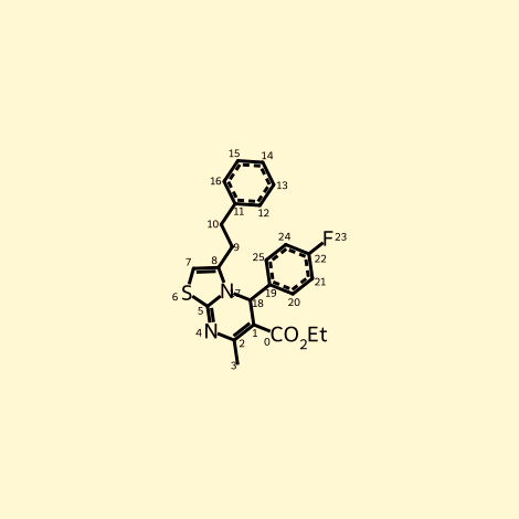 CCOC(=O)C1=C(C)N=C2SC=C(CCc3ccccc3)N2C1c1ccc(F)cc1